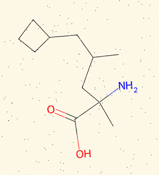 CC(CC1CCC1)CC(C)(N)C(=O)O